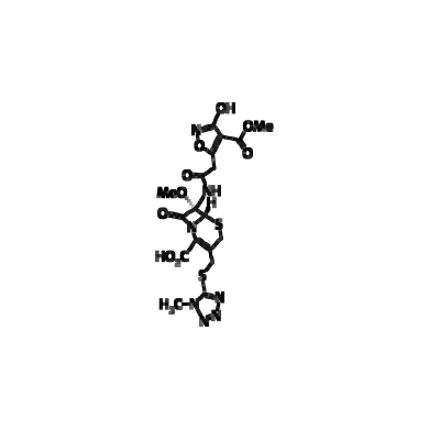 COC(=O)c1c(O)noc1CC(=O)N[C@]1(OC)C(=O)N2C(C(=O)O)=C(CSc3nnnn3C)CS[C@H]21